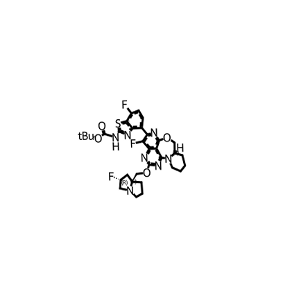 CC(C)(C)OC(=O)Nc1nc2c(-c3nc4c5c(nc(OC[C@@]67CCCN6C[C@H](F)C7)nc5c3F)N3CCCC[C@H]3CO4)ccc(F)c2s1